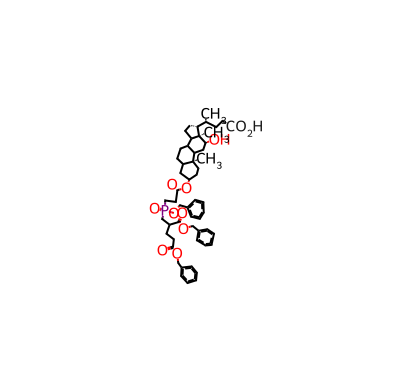 C[C@H](CCC(=O)O)[C@H]1CCC2C3CCC4C[C@H](OC(=O)CCP(=O)(CC(CCC(=O)OCc5ccccc5)C(=O)OCc5ccccc5)OCc5ccccc5)CC[C@]4(C)C3C[C@H](O)[C@@]21C